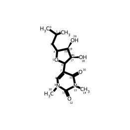 CC(C)CC1OC(c2cn(C)c(=O)n(C)c2=O)[C@H](O)[C@@H]1O